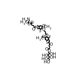 COc1cc2c(c(F)c1OCCCOc1c(OC)cc3sc(C(=O)CCC(=O)OC[C@@H](O)[C@@H](O)[C@H](O)[C@H](O)CO)cc3c1F)CN(C(=O)CCC(=O)O[C@@H](C)CN)C2